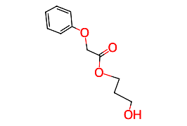 O=C(COc1ccccc1)OCCCO